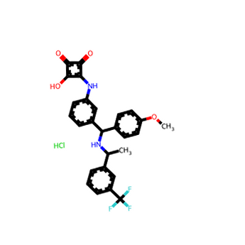 COc1ccc(C(NC(C)c2cccc(C(F)(F)F)c2)c2cccc(Nc3c(O)c(=O)c3=O)c2)cc1.Cl